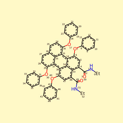 CCNC(=O)c1cc(Oc2ccccc2)c2c3c(Oc4ccccc4)ccc4ccc(Oc5ccccc5)c(c5c(Oc6ccccc6)cc(C(=O)NCC)c1c25)c43